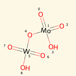 [O]=[Mo](=[O])([OH])[O][W](=[O])(=[O])[OH]